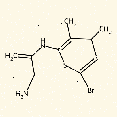 C=C(CN)NC1=C(C)C(C)C=C(Br)S1